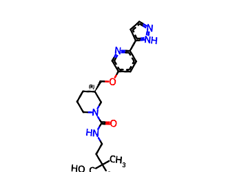 CC(C)(CCNC(=O)N1CCC[C@@H](COc2ccc(-c3ccn[nH]3)nc2)C1)C(=O)O